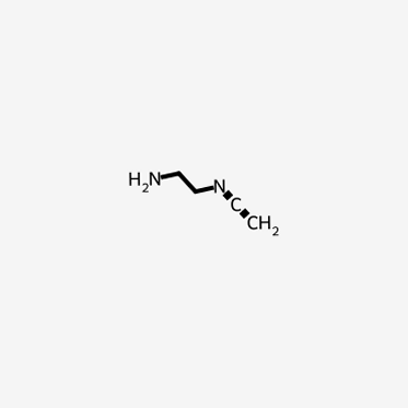 C=C=NCCN